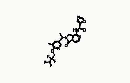 Cc1cc(C(C)N2Cc3c(ccnc3NC(=O)c3cnco3)C2=O)cnc1OCC(F)(F)C(F)F